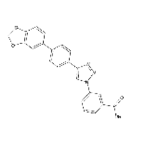 O=C(O)c1cccc(-n2cc(-c3ccc(-c4ccc5c(c4)OCO5)cc3)nn2)c1